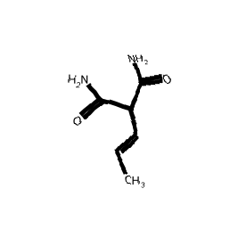 CC=CC(C(N)=O)C(N)=O